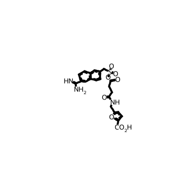 N=C(N)c1ccc2cc(CS(=O)(=O)OC(=O)CCC(=O)NCc3ccc(C(=O)O)o3)ccc2c1